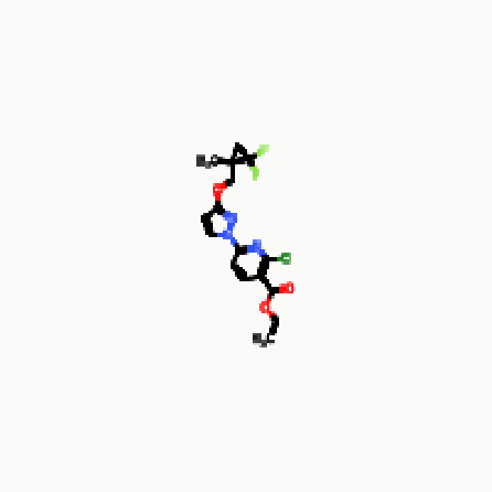 CCOC(=O)c1ccc(-n2ccc(OCC3(C)CC3(F)F)n2)nc1Cl